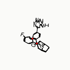 O=C(c1ccc(-c2nnn[nH]2)cc1)N1C2CCC1CC(c1ccc(F)cc1)C2